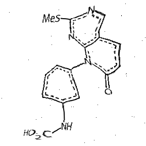 CSc1ncc2ccc(=O)n(-c3cccc(NC(=O)O)c3)c2n1